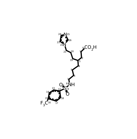 O=C(O)CCC(CCCCNS(=O)(=O)c1ccc(C(F)(F)F)cc1)CCCn1ccnc1